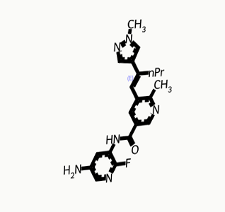 CCC/C(=C\c1cc(C(=O)Nc2cc(N)cnc2F)cnc1C)c1cnn(C)c1